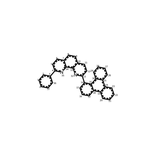 c1ccc(-c2ccc3ccc4ccc(-c5cccc6c7ccccc7c7ccccc7c56)nc4c3n2)cc1